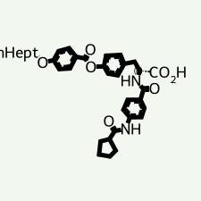 CCCCCCCOc1ccc(C(=O)Oc2ccc(C[C@@H](NC(=O)c3ccc(NC(=O)C4CCCC4)cc3)C(=O)O)cc2)cc1